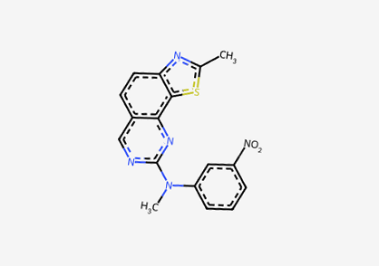 Cc1nc2ccc3cnc(N(C)c4cccc([N+](=O)[O-])c4)nc3c2s1